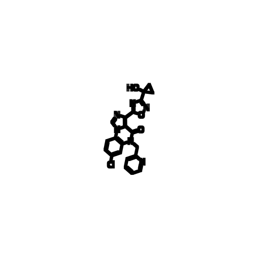 O=c1c2c(-c3nc(C4(O)CC4)no3)ncn2c2ccc(Cl)cc2n1Cc1ccccn1